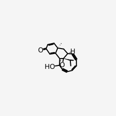 CC(C)[C@@]12O[C@]13C1=CC(=O)C=C[C@@]1(C)C[C@H]2C#C/C=C\C#CC3O